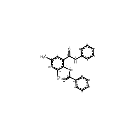 Cc1cc(C(=O)Nc2ccccc2)c(NC(=O)c2ccccc2)c(C)n1